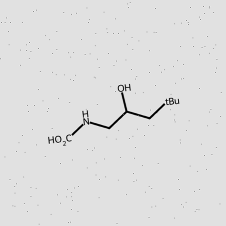 CC(C)(C)CC(O)CNC(=O)O